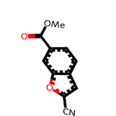 COC(=O)c1ccc2cc(C#N)oc2c1